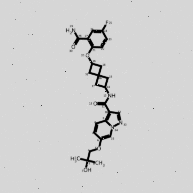 CC(C)(O)COc1ccc2c(C(=O)NC3CC4(C3)CC(Oc3ccc(F)cc3C(N)=O)C4)cnn2c1